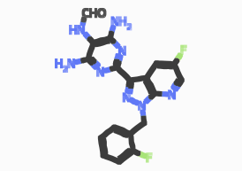 Nc1nc(-c2nn(Cc3ccccc3F)c3ncc(F)cc23)nc(N)c1NC=O